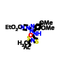 CCOC(=O)N1CCN(c2nc(NC(=O)C3CSCN3C(=S)C(C)CC(C)=O)c3cc(OC)c(OC)cc3n2)CC1